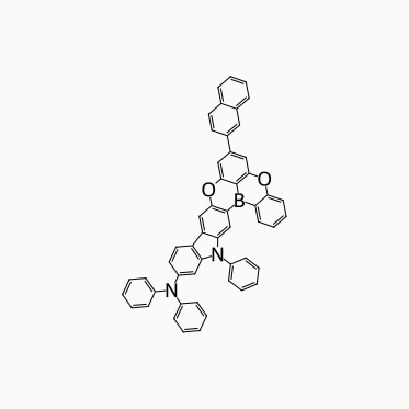 c1ccc(N(c2ccccc2)c2ccc3c4cc5c(cc4n(-c4ccccc4)c3c2)B2c3ccccc3Oc3cc(-c4ccc6ccccc6c4)cc(c32)O5)cc1